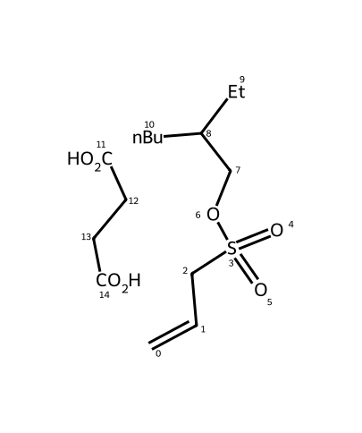 C=CCS(=O)(=O)OCC(CC)CCCC.O=C(O)CCC(=O)O